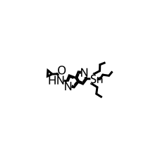 CCC[CH2][Sn]([CH2]CCC)([CH2]CCC)[c]1cc2cnc(NC(=O)C3CC3)cc2cn1